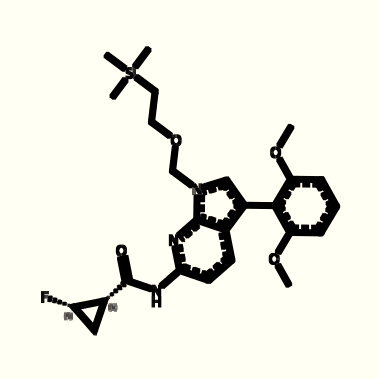 COc1cccc(OC)c1-c1cn(COCC[Si](C)(C)C)c2nc(NC(=O)[C@@H]3C[C@@H]3F)ccc12